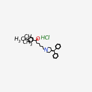 CC(C)(C)c1ccc(C(=O)CCCCCN2CCC(=C(c3ccccc3)c3ccccc3)CC2)cc1.Cl